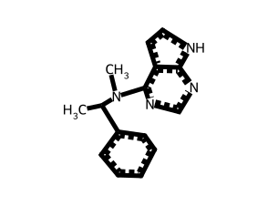 CC(c1ccccc1)N(C)c1ncnc2[nH]ccc12